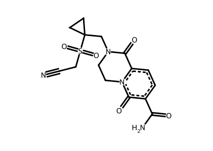 N#CCS(=O)(=O)C1(CN2CCn3c(ccc(C(N)=O)c3=O)C2=O)CC1